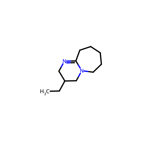 CCC1CN=C2CCCCCN2C1